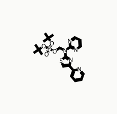 CC(C)(C)OP(=O)(OCN(c1ncccn1)c1nc(-c2ccccn2)cs1)OC(C)(C)C